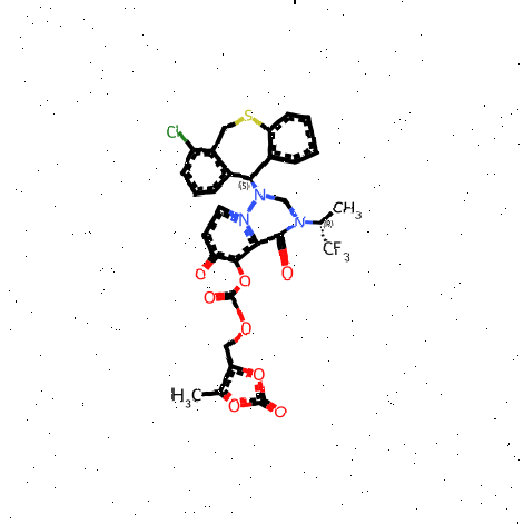 Cc1oc(=O)oc1COC(=O)Oc1c2n(ccc1=O)N([C@@H]1c3ccccc3SCc3c(Cl)cccc31)CN([C@H](C)C(F)(F)F)C2=O